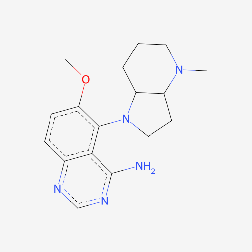 COc1ccc2ncnc(N)c2c1N1CCC2C1CCCN2C